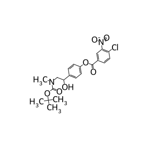 CN(CC(O)c1ccc(OC(=O)c2ccc(Cl)c([N+](=O)[O-])c2)cc1)C(=O)OC(C)(C)C